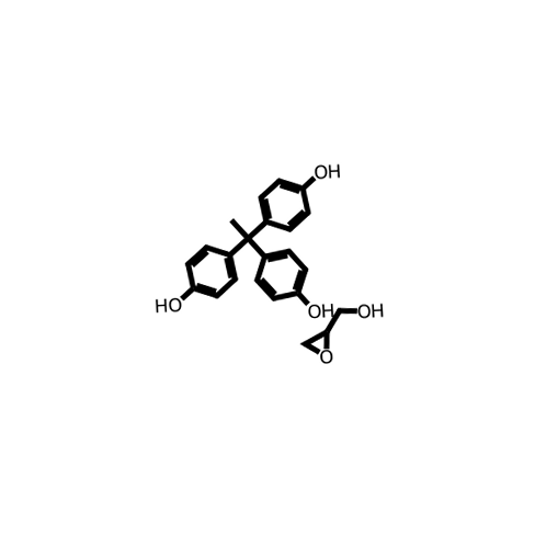 CC(c1ccc(O)cc1)(c1ccc(O)cc1)c1ccc(O)cc1.OCC1CO1